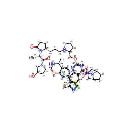 Cc1ncsc1-c1ccc([C@H](C)NC(=O)[C@@H]2C[C@@H](O)CN2C(=O)[C@@H](N2C(=O)CC[C@@H]2CCCN2CCC[C@H]2COc2nc(N3CC4CCC(C3)N4C(=O)OC(C)(C)C)c3cc(Cl)c(Br)c(F)c3n2)C(C)(C)C)cc1